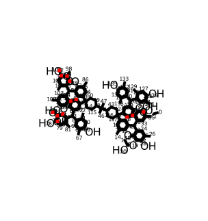 CCOOOc1c(C)cc(C2(c3cc(C)c(OCC(=O)O)c(C(c4cc(C)c(O)cc4C)c4cc(C)c(O)cc4C)c3)CCC(C(C)(C)C3CCC(c4cc(C)c(OCC(=O)O)c(C(c5cc(C)c(O)cc5C)c5cc(C)c(O)cc5C)c4)(c4cc(C)c(OOOCC)c(C(c5cc(C)c(O)cc5C)c5cc(C)c(O)cc5C)c4)CC3)CC2)cc1C(c1cc(C)c(O)cc1C)c1cc(C)c(O)cc1C